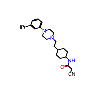 CC(C)c1cccc(N2CCN(CCC3CCC(NC(=O)CC#N)CC3)CC2)c1